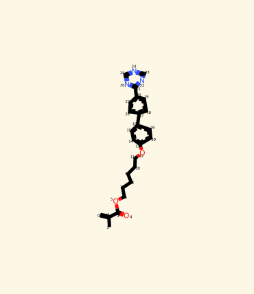 C=C(C)C(=O)OCCCCCCOc1ccc(-c2ccc(-c3ncncn3)cc2)cc1